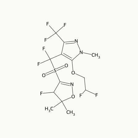 Cn1nc(C(F)(F)F)c(C(F)(F)S(=O)(=O)C2=NOC(C)(C)C2F)c1OCC(F)F